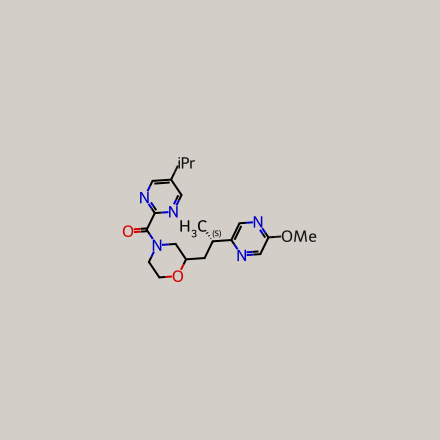 COc1cnc([C@@H](C)CC2CN(C(=O)c3ncc(C(C)C)cn3)CCO2)cn1